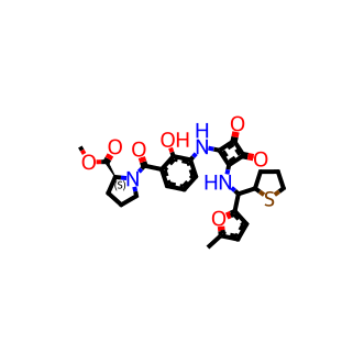 COC(=O)[C@@H]1CCCN1C(=O)c1cccc(Nc2c(NC(c3ccc(C)o3)C3CCCS3)c(=O)c2=O)c1O